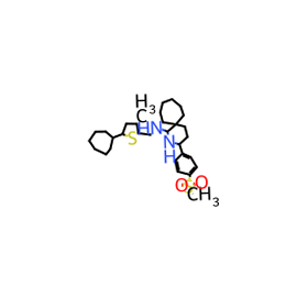 CC1CC(C2CCCCCC2)SC1CNC1NC(c2ccc(S(C)(=O)=O)cc2)CCC12CCCCCC2